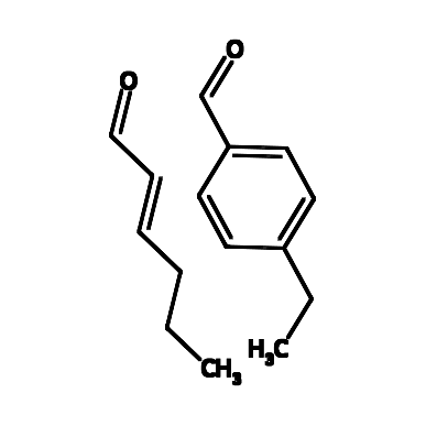 CCCC=CC=O.CCc1ccc(C=O)cc1